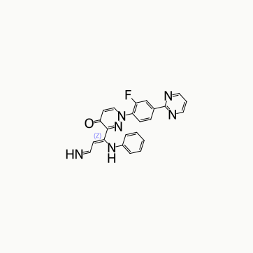 N=C/C=C(\Nc1ccccc1)c1nn(-c2ccc(-c3ncccn3)cc2F)ccc1=O